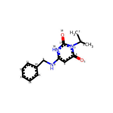 CC(C)n1c(=O)cc(NCc2ccccc2)[nH]c1=O